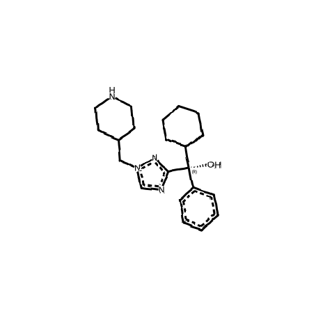 O[C@](c1ccccc1)(c1ncn(CC2CCNCC2)n1)C1CCCCC1